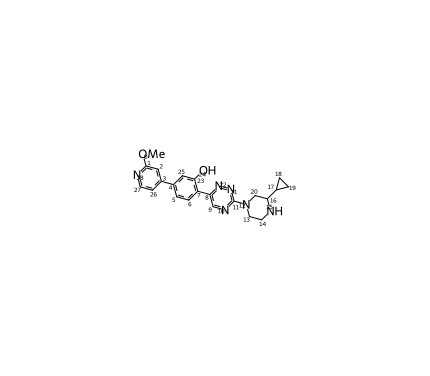 COc1cc(-c2ccc(-c3cnc(N4CCNC(C5CC5)C4)nn3)c(O)c2)ccn1